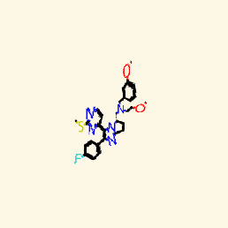 COCCN(Cc1cccc(OC)c1)C[C@@H]1CCc2nc(-c3ccc(F)cc3)c(-c3ccnc(SC)n3)n21